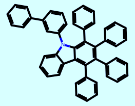 c1ccc(-c2cccc(-n3c4ccccc4c4c(-c5ccccc5)c(-c5ccccc5)c(-c5ccccc5)c(-c5ccccc5)c43)c2)cc1